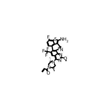 C=CC(=O)N1C[C@H](C)N(c2nc(OC)nc3c(F)c(-c4ccc(F)c5sc(N)c(C#N)c45)c(C(F)(F)F)cc23)C[C@H]1C